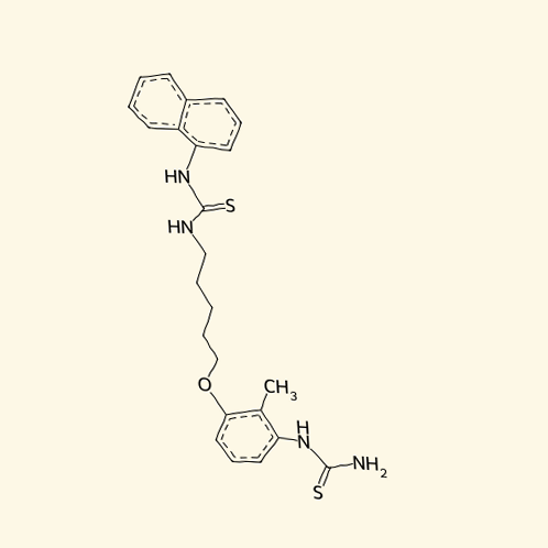 Cc1c(NC(N)=S)cccc1OCCCCCNC(=S)Nc1cccc2ccccc12